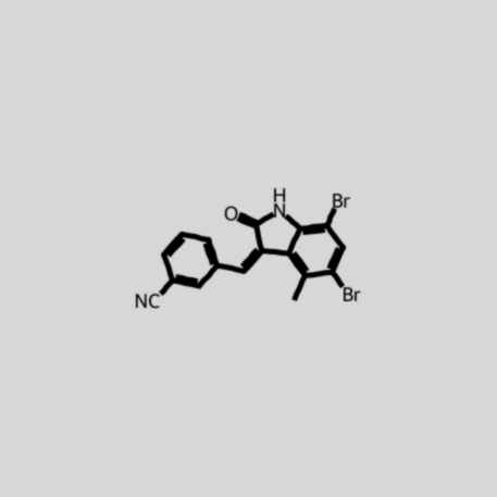 Cc1c(Br)cc(Br)c2c1C(=Cc1cccc(C#N)c1)C(=O)N2